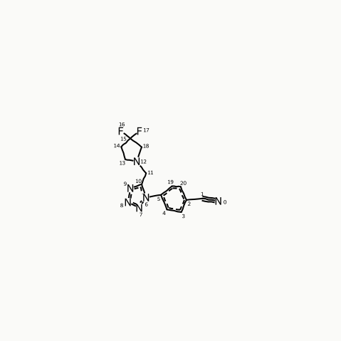 N#Cc1ccc(-n2nnnc2CN2CCC(F)(F)C2)cc1